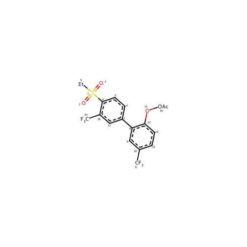 CCS(=O)(=O)c1ccc(-c2cc(C(F)(F)F)ccc2OOC(C)=O)cc1C(F)(F)F